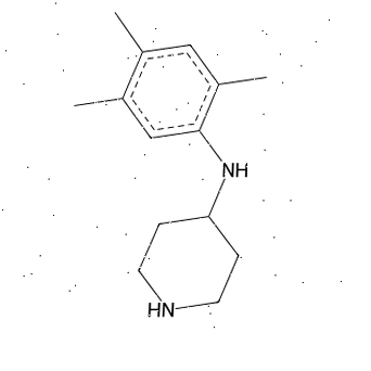 Cc1cc(C)c(NC2CCNCC2)cc1C